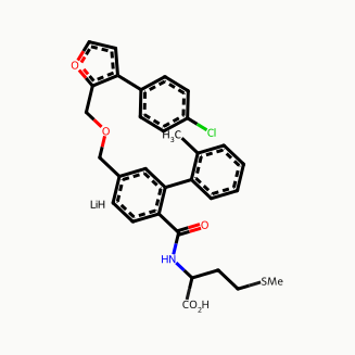 CSCCC(NC(=O)c1ccc(COCc2occc2-c2ccc(Cl)cc2)cc1-c1ccccc1C)C(=O)O.[LiH]